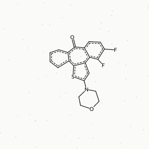 O=c1c2ccccc2c2sc(N3CCOCC3)cc2c2c(F)c(F)ccc12